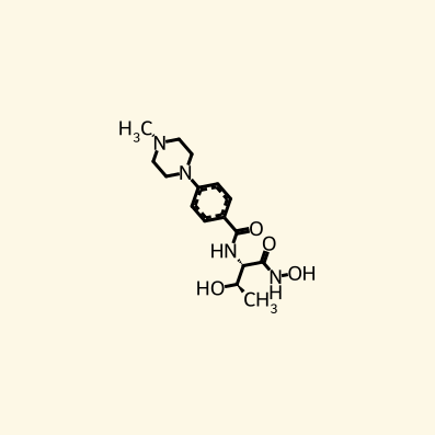 C[C@@H](O)[C@H](NC(=O)c1ccc(N2CCN(C)CC2)cc1)C(=O)NO